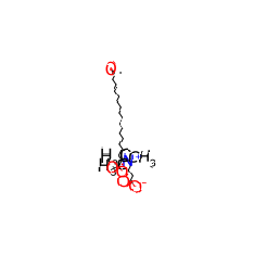 C[N+](C)(C)CC(CC(=O)[O-])OC(=O)CCCCCCCCCCCCCCCC[C]=O